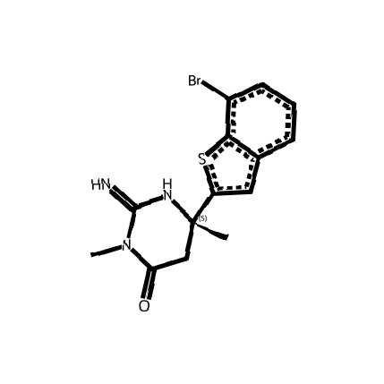 CN1C(=N)N[C@](C)(c2cc3cccc(Br)c3s2)CC1=O